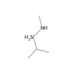 CN[SiH2]C(C)C